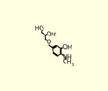 CNc1ccc(COCC(O)CO)cc1O